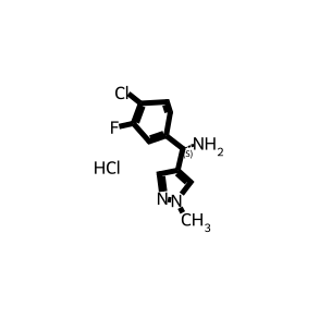 Cl.Cn1cc([C@@H](N)c2ccc(Cl)c(F)c2)cn1